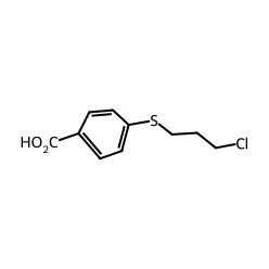 O=C(O)c1ccc(SCCCCl)cc1